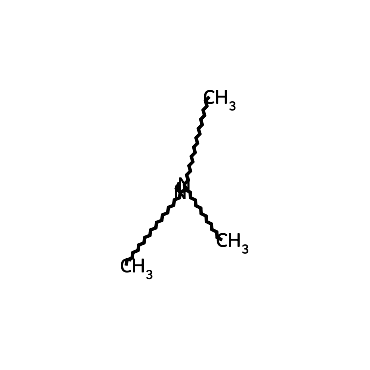 CCCCCCCCCCCCCCCCCCCN1C=CN(CCCCCCCCCCCCCCCCCCC)C1CCCCCCCCCCCCC